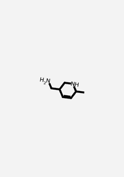 CC1C=CC(CN)CN1